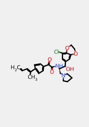 C=C/C=C(\C)c1ccc(C(=O)C(=O)N[C@H](CN2CCCC2)[C@H](O)c2cc(Cl)c3c(c2)OCCO3)cc1